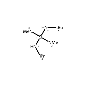 CN[Si](NC)(NC(C)C)NC(C)(C)C